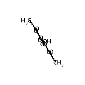 CCCCCCCCCC(=O)OCCCCCCOC(=O)CCC(O)C(=O)OCCCCCCOC(=O)CCCCCCCCC